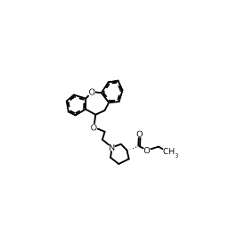 CCOC(=O)[C@@H]1CCCN(CCOC2Cc3ccccc3Oc3ccccc32)C1